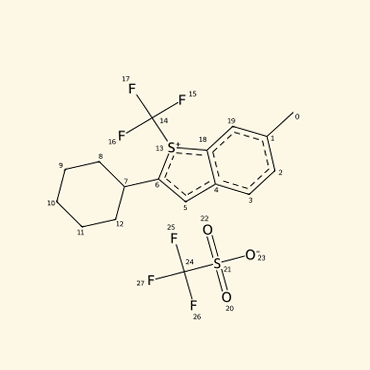 Cc1ccc2cc(C3CCCCC3)[s+](C(F)(F)F)c2c1.O=S(=O)([O-])C(F)(F)F